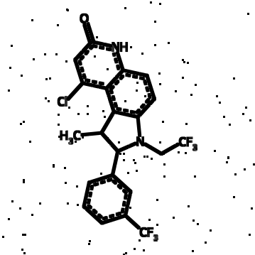 CC1c2c(ccc3[nH]c(=O)cc(Cl)c23)N(CC(F)(F)F)C1c1cccc(C(F)(F)F)c1